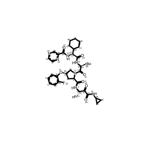 CCC[C@H](NC(=O)C1C[C@@H](Oc2ccccc2F)CN1C(=O)[C@@H](NC(=O)[C@@H](NC(=O)c1cnccn1)C1CCCCC1)C(C)(C)C)C(=O)C(=O)NC1CC1